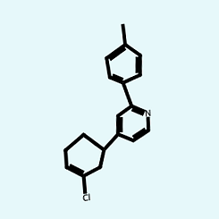 Cc1ccc(-c2cc(C3CCC=C(Cl)C3)ccn2)cc1